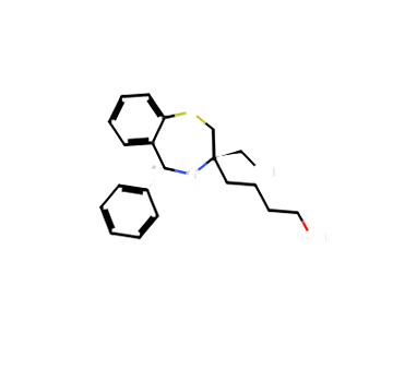 CC[C@]1(CCCCO)CSc2ccccc2[C@@H](c2ccccc2)N1